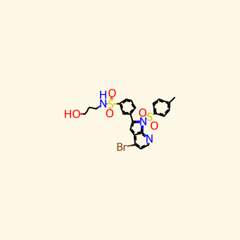 Cc1ccc(S(=O)(=O)n2c(-c3cccc(S(=O)(=O)NCCCO)c3)cc3c(Br)ccnc32)cc1